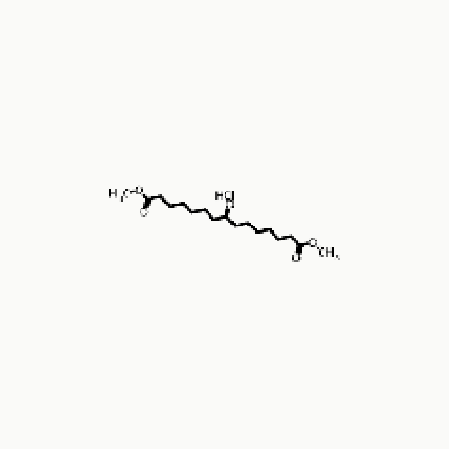 COC(=O)CCCCCCC(=O)CCCCCCC(=O)OC.Cl